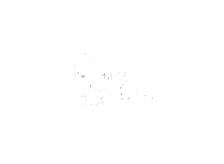 COc1cc(Cl)cc(Cl)c1CN[C@@H]1CCCN[C@@H]1c1ccccc1